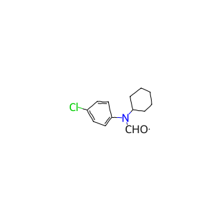 O=[C]N(c1ccc(Cl)cc1)C1CCCCC1